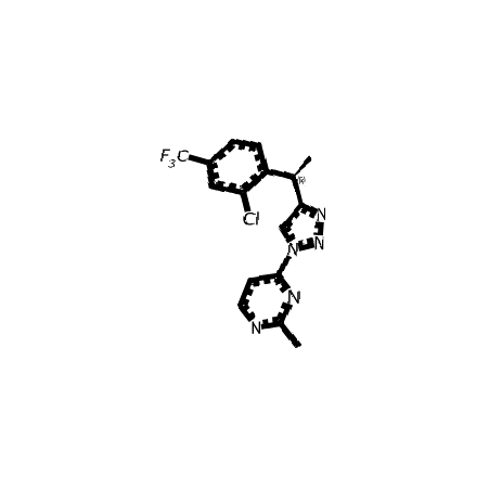 Cc1nccc(-n2cc([C@H](C)c3ccc(C(F)(F)F)cc3Cl)nn2)n1